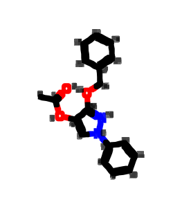 CC(=O)Oc1cn(-c2ccccc2)nc1OCc1ccccc1